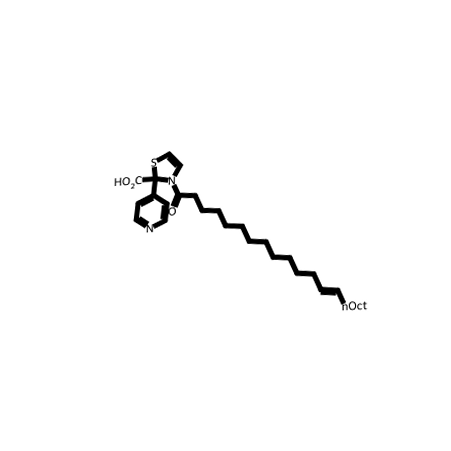 CCCCCCCCC=CCCCCCCCCCCCC(=O)N1C=CSC1(C(=O)O)c1ccncc1